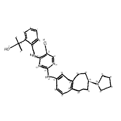 CC(C)(O)c1ccccc1Nc1nc(Nc2ccc3c(c2)CC[C@@H](N2CCCC2)CC3)ncc1Cl